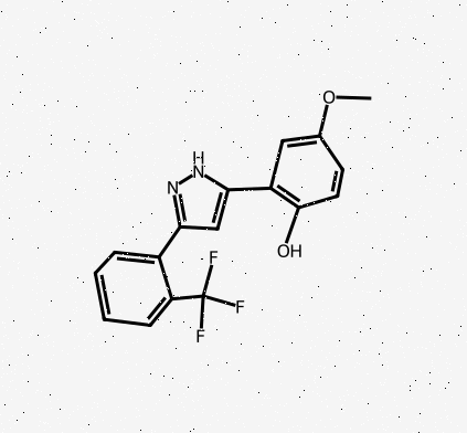 COc1ccc(O)c(-c2cc(-c3ccccc3C(F)(F)F)n[nH]2)c1